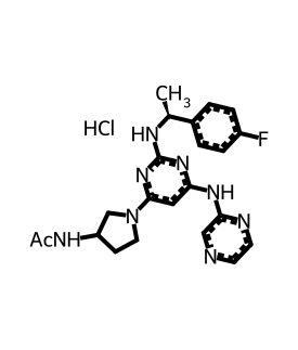 CC(=O)NC1CCN(c2cc(Nc3cnccn3)nc(N[C@@H](C)c3ccc(F)cc3)n2)C1.Cl